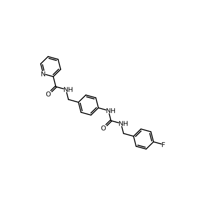 O=C(NCc1ccc(F)cc1)Nc1ccc(CNC(=O)c2ccccn2)cc1